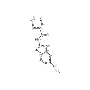 COc1ccc2nc(NC(=O)c3ccccc3)sc2c1